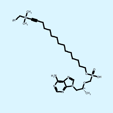 CC(C)C[Si](C)(C)C#CCCCCCCCCCCCCCOP(=O)(O)CO[C@H](C)Cn1cnc2c(N)ncnc21